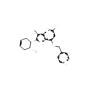 N[C@@H]1CC=CC[C@H]1c1sc2c(NCc3ccncc3)cc(Cl)nc2c1Cl